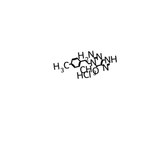 Cc1ccc(CCn2c(N)nc3[nH]cnc3c2=O)c(C)c1.Cl